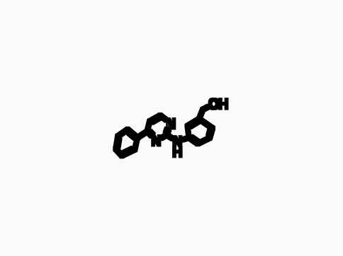 OCc1cccc(Nc2nccc(-c3ccccc3)n2)c1